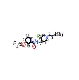 CC(C)(C)CCN1CC[C@@H](CNC(=O)c2cccc(OC(F)(F)F)c2)[C@@H](F)C1